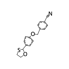 N#Cc1ccc(COc2ccc(C3OCCS3)cc2)cc1